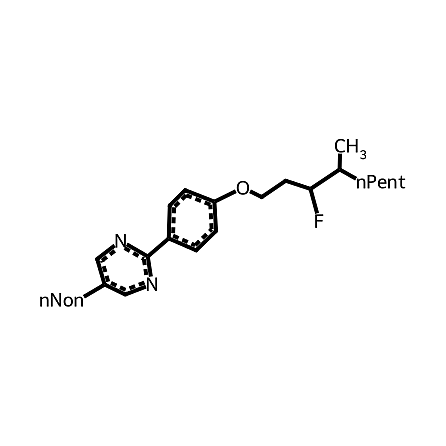 CCCCCCCCCc1cnc(-c2ccc(OCCC(F)C(C)CCCCC)cc2)nc1